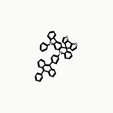 c1ccc(-c2c3ccccc3c(-c3ccc(N4c5ccccc5C5(c6cc7c8ccccc8n(-c8ccccc8)c7cc64)c4ccsc4-c4sccc45)cc3)c3ccccc23)cc1